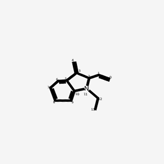 C=CC1C(=C)c2ccccc2N1CC